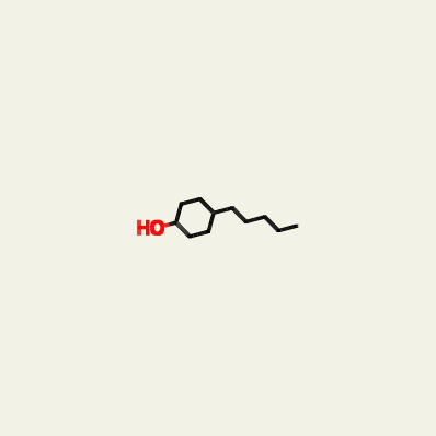 CCCCCC1CCC(O)CC1